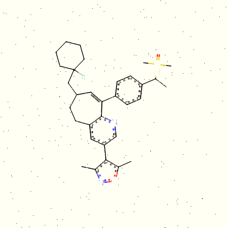 Cc1noc(C)c1-c1cnc2c(c1)CCC(CC1(F)CCCCC1)C=C2c1ccc(C(C)[SH](C)(C)=O)cc1